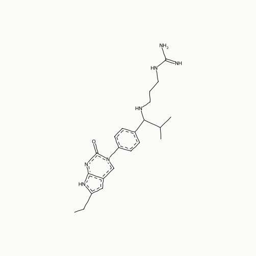 CCc1cc2cn(-c3ccc(C(NCCCNC(=N)N)C(C)C)cc3)c(=O)nc2[nH]1